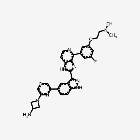 CN(C)CCOc1cc(F)cc(-c2nccc3[nH]c(-c4n[nH]c5ccc(-c6cncc(N7CC(N)C7)n6)cc45)nc23)c1